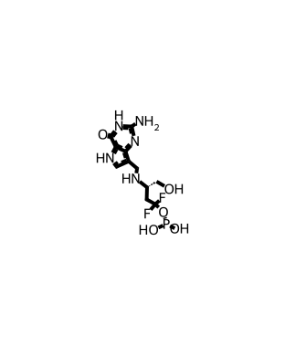 Nc1nc2c(CN[C@H](CO)CC(F)(F)OP(O)O)c[nH]c2c(=O)[nH]1